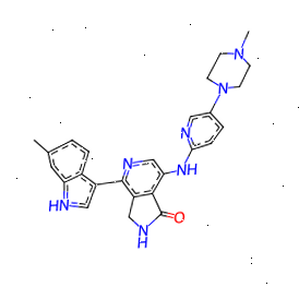 Cc1ccc2c(-c3ncc(Nc4ccc(N5CCN(C)CC5)cn4)c4c3CNC4=O)c[nH]c2c1